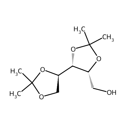 CC1(C)OC[C@H]([C@@H]2OC(C)(C)O[C@@H]2CO)O1